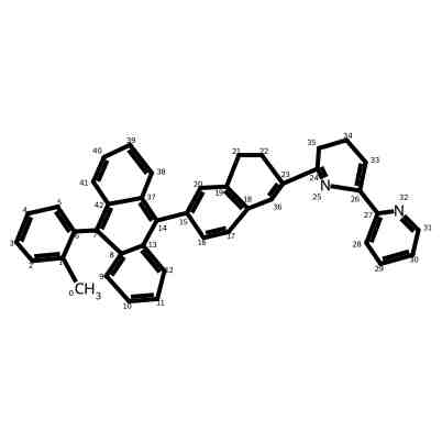 Cc1ccccc1-c1c2ccccc2c(-c2ccc3c(c2)CCC(C2=NC(c4ccccn4)=CCC2)=C3)c2ccccc12